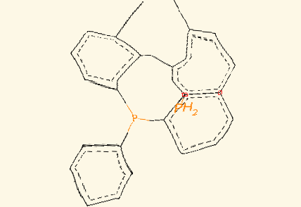 Cc1cccc(P)c1-c1c(C)cccc1P(c1ccccc1)c1ccccc1